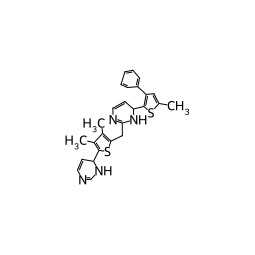 Cc1cc(-c2ccccc2)c(C2C=CN=C(Cc3sc(C4C=CN=CN4)c(C)c3C)N2)s1